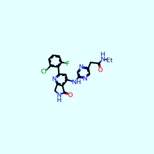 CCNC(=O)Cc1cnc(Nc2cc(-c3c(F)cccc3Cl)nc3c2C(=O)NC3)cn1